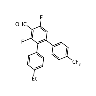 CCc1ccc(-c2c(-c3ccc(C(F)(F)F)cc3)cc(F)c(C=O)c2F)cc1